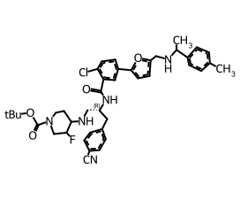 Cc1ccc(C(C)NCc2ccc(-c3ccc(Cl)c(C(=O)N[C@@H](CNC4CCN(C(=O)OC(C)(C)C)CC4F)Cc4ccc(C#N)cc4)c3)o2)cc1